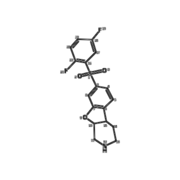 O=S(=O)(c1ccc2c(c1)OC1CNCCC21)c1cc(F)ccc1F